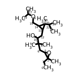 CCC1(C)OC1CC(C)(C)C(O)CC1C(COC(C)C)[C@@]1(C)C(C)C